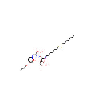 CCCCCCC[S+]([O-])CCCCCC/C=C/[C@H](C(=O)N[C@@H](Cc1ccc(OCCCC)cc1)C(=O)O)[C@@](O)(CCOC)C(=O)O